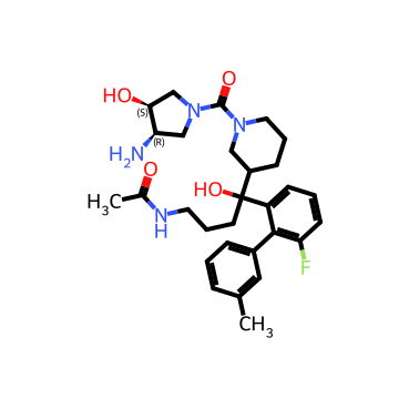 CC(=O)NCCCC(O)(c1cccc(F)c1-c1cccc(C)c1)C1CCCN(C(=O)N2C[C@@H](N)[C@@H](O)C2)C1